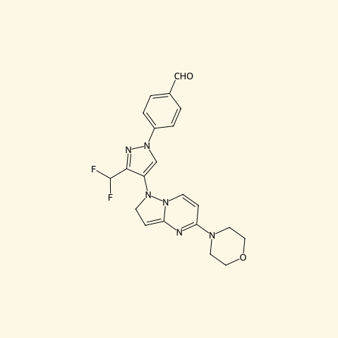 O=Cc1ccc(-n2cc(N3CC=C4N=C(N5CCOCC5)C=CN43)c(C(F)F)n2)cc1